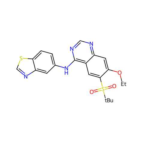 [CH2]COc1cc2ncnc(Nc3ccc4scnc4c3)c2cc1S(=O)(=O)C(C)(C)C